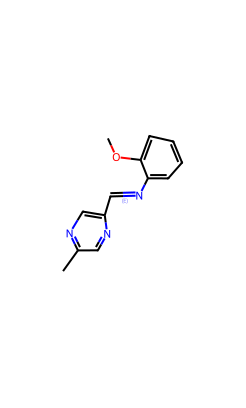 COc1ccccc1/N=C/c1cnc(C)cn1